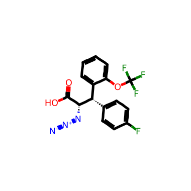 [N-]=[N+]=N[C@H](C(=O)O)[C@@H](c1ccc(F)cc1)c1ccccc1OC(F)(F)F